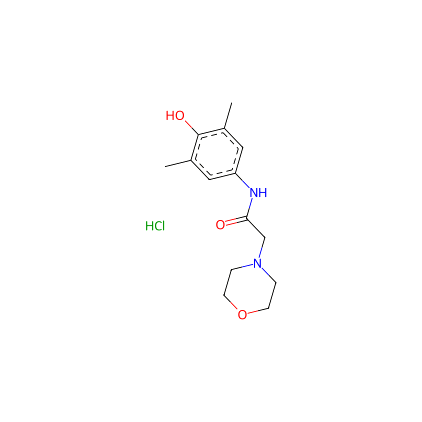 Cc1cc(NC(=O)CN2CCOCC2)cc(C)c1O.Cl